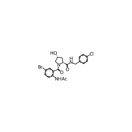 CC(=O)Nc1ccc(Br)cc1C(=O)N1C[C@H](O)C[C@H]1C(=O)NCc1ccc(Cl)cc1